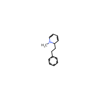 CN1C=CC=CC1CCc1ccccc1